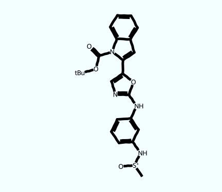 C[S+]([O-])Nc1cccc(Nc2ncc(-c3cc4ccccc4n3C(=O)OC(C)(C)C)o2)c1